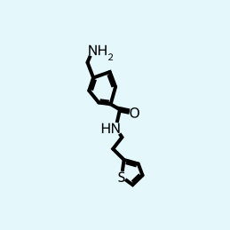 NCc1ccc(C(=O)NCCc2cccs2)cc1